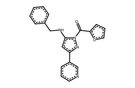 O=C(c1ccco1)n1nc(-c2cccnc2)cc1NCc1ccccc1